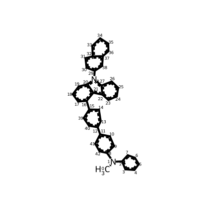 CN(c1ccccc1)c1ccc(-c2ccc(-c3cccc4c3c3ccccc3n4-c3ccc4ccccc4c3)cc2)cc1